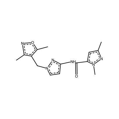 Cc1cc(C(=O)Nc2ccn(Cc3c(C)noc3C)n2)n(C)n1